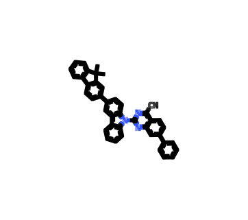 CC1(C)c2ccccc2-c2ccc(-c3ccc4c(c3)c3ccccc3n4-c3nc(C#N)c4ccc(-c5ccccc5)cc4n3)cc21